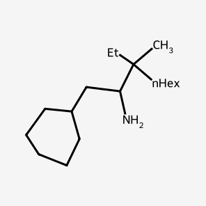 CCCCCCC(C)(CC)C(N)CC1CCCCC1